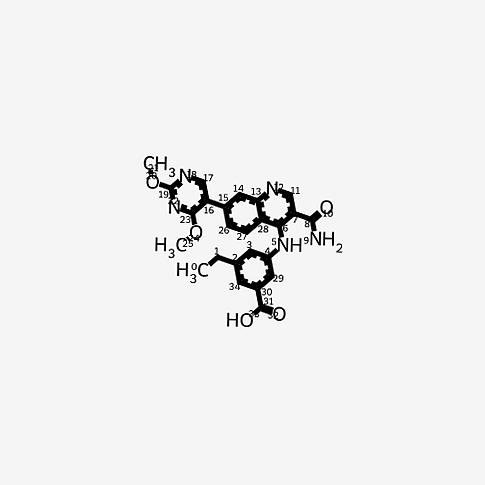 CCc1cc(Nc2c(C(N)=O)cnc3cc(-c4cnc(OC)nc4OC)ccc23)cc(C(=O)O)c1